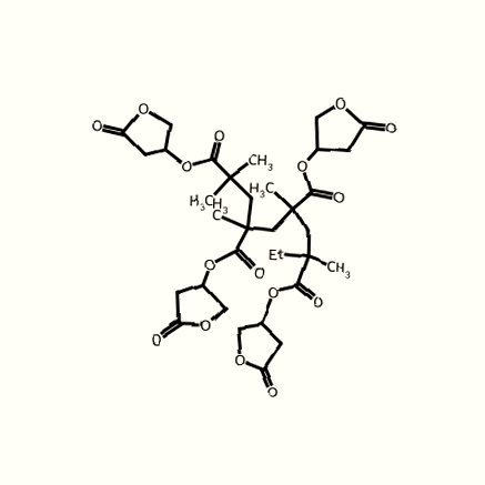 CCC(C)(CC(C)(CC(C)(CC(C)(C)C(=O)OC1COC(=O)C1)C(=O)OC1COC(=O)C1)C(=O)OC1COC(=O)C1)C(=O)OC1COC(=O)C1